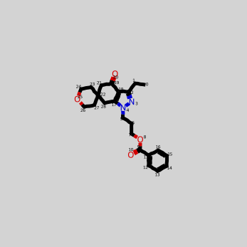 CCc1nn(CCCOC(=O)c2ccccc2)c2c1C(=O)CC1(CCOCC1)C2